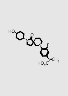 CN(C(=O)O)c1ccc(N2CCC[C@]3(CCN([C@H]4CC[C@H](O)CC4)C3=O)C2)c(F)c1